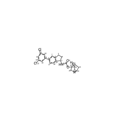 O=C(NC1CCc2cc(-c3cc(Cl)cc(Cl)c3)ccc21)O[C@H]1CN2CCC1CC2